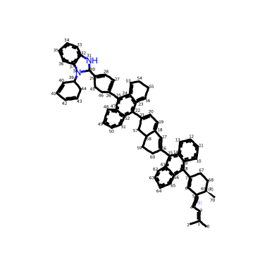 CC(C)=C/C=C1/C=C(c2c3ccccc3c(C3=CC4=CC=C(c5c6c(c(C7=CC=C(C8Nc9ccccc9N8C8C=CC=CC8)CC7)c7ccccc57)=CCCC=6)CC4CC3)c3ccccc23)CC[C@H]1C